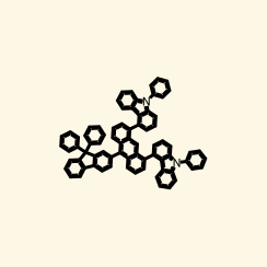 c1ccc(-n2c3ccccc3c3c(-c4cccc5c(-c6ccc7c(c6)C(c6ccccc6)(c6ccccc6)c6ccccc6-7)c6cccc(-c7cccc8c7c7ccccc7n8-c7ccccc7)c6cc45)cccc32)cc1